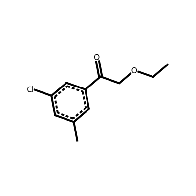 CCOCC(=O)c1cc(C)cc(Cl)c1